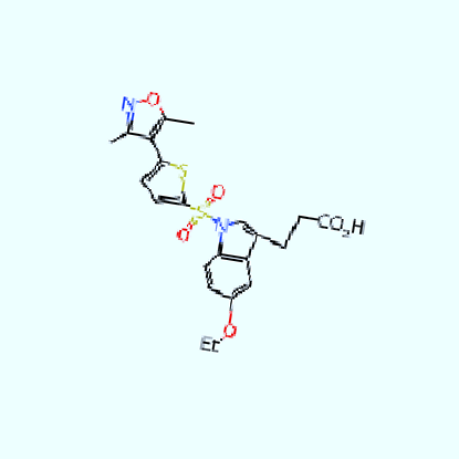 CCOc1ccc2c(c1)c(CCC(=O)O)cn2S(=O)(=O)c1ccc(-c2c(C)noc2C)s1